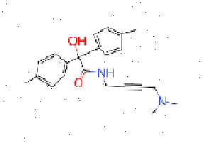 Cc1ccc(C(O)(C(=O)NCC#CCN(C)C)c2ccc(C)cc2)cc1